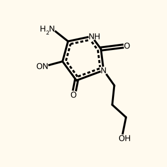 Nc1[nH]c(=O)n(CCCO)c(=O)c1N=O